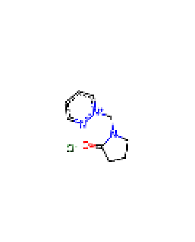 O=C1CCCN1C[n+]1ccccn1.[Cl-]